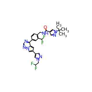 CC(C)(C)n1cc(C(=O)NCc2ccc(-c3ncnn4cc(-c5cnn(CC(F)F)c5)cc34)cc2C(F)F)cn1